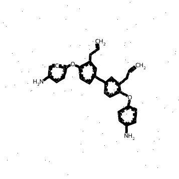 C=CCc1cc(-c2ccc(Oc3ccc(N)cc3)c(CC=C)c2)ccc1Oc1ccc(N)cc1